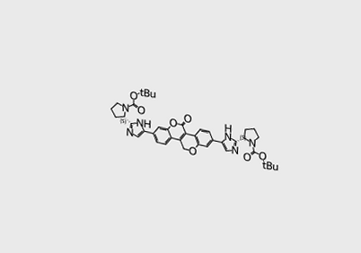 CC(C)(C)OC(=O)N1CCC[C@H]1c1ncc(-c2ccc3c(c2)OCc2c-3c(=O)oc3cc(-c4cnc([C@@H]5CCCN5C(=O)OC(C)(C)C)[nH]4)ccc23)[nH]1